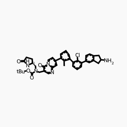 Cc1c(-c2ccn3c(=O)c(CN(C[C@@H]4CCC(=O)N4)C(=O)OC(C)(C)C)cnc3c2)cccc1-c1cccc(-c2ccc3c(c2)CC(N)C3)c1Cl